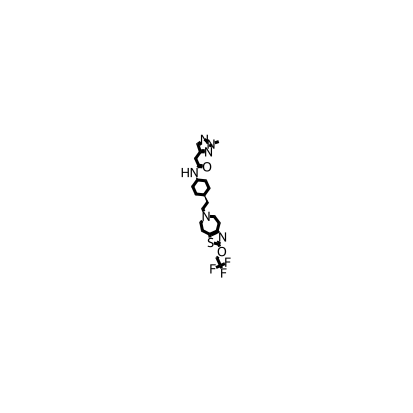 Cn1ncc(CC(=O)N[C@H]2CC[C@H](CCN3CCc4nc(OCC(F)(F)F)sc4CC3)CC2)n1